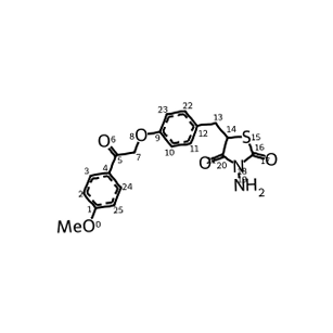 COc1ccc(C(=O)COc2ccc(CC3SC(=O)N(N)C3=O)cc2)cc1